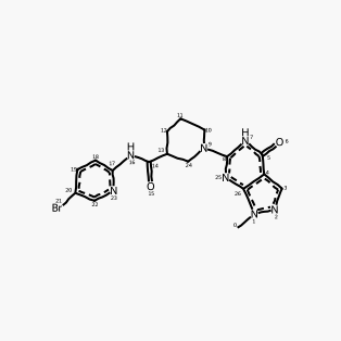 Cn1ncc2c(=O)[nH]c(N3CCCC(C(=O)Nc4ccc(Br)cn4)C3)nc21